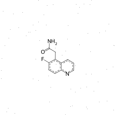 NC(=O)Cc1c(F)ccc2ncccc12